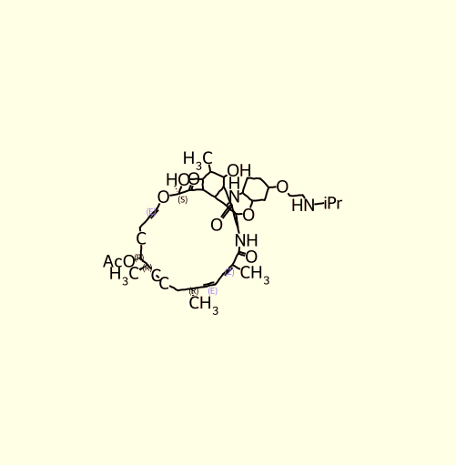 CC(=O)O[C@@H]1CC/C=C/O[C@H]2OC3C(C)C(O)C4C(=O)C(NC(=O)/C(C)=C\C=C\[C@H](C)CCC[C@H]1C)C1OC5CC(OCCNC(C)C)CCC5NC1C4C3C2=O